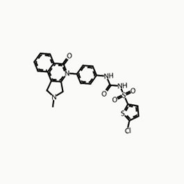 CN1Cc2c(n(-c3ccc(NC(=O)NS(=O)(=O)c4ccc(Cl)s4)cc3)c(=O)c3ccccc23)C1